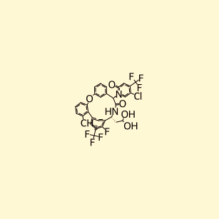 Cc1cccc2c1-c1cc(c(F)c(C(F)(F)F)c1)[C@@H](CC(O)O)NC(=O)[C@H](n1cc(Cl)c(C(F)(F)F)cc1=O)c1cccc(c1)O2